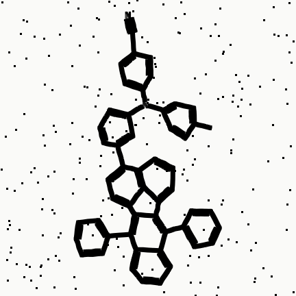 Cc1ccc(N(c2ccc(C#N)cc2)c2cccc(-c3ccc4c5c(cccc35)-c3c-4c(-c4ccccc4)c4ccccc4c3-c3ccccc3)c2)cc1